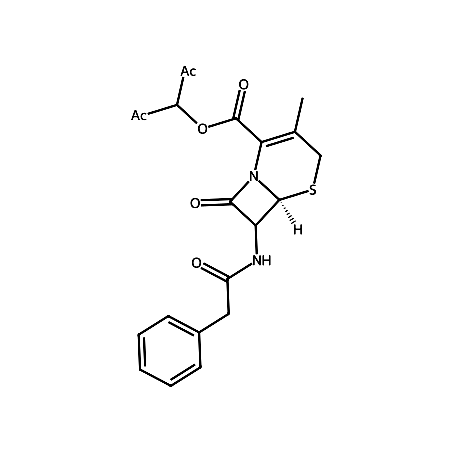 CC(=O)C(OC(=O)C1=C(C)CS[C@H]2C(NC(=O)Cc3ccccc3)C(=O)N12)C(C)=O